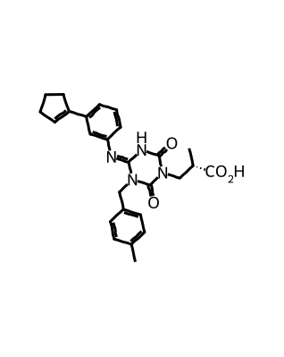 Cc1ccc(Cn2c(=O)n(C[C@H](C)C(=O)O)c(=O)[nH]/c2=N\c2cccc(C3=CCCC3)c2)cc1